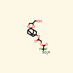 O=C(COC(=O)C(F)(F)S(=O)(=O)O)OC12CC3CC(C1)C1(OCC(CO)O1)C(C3)C2